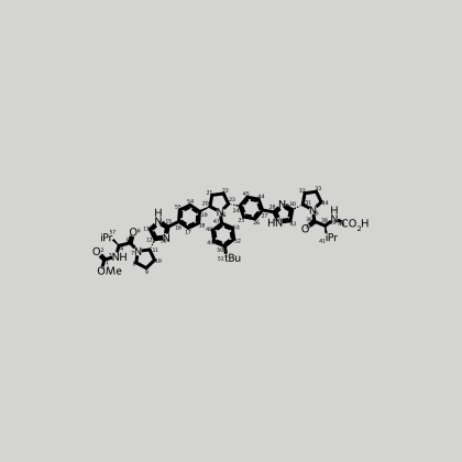 COC(=O)N[C@H](C(=O)N1CCC[C@H]1c1c[nH]c(-c2ccc([C@H]3CC[C@H](c4ccc(-c5nc([C@@H]6CCCN6C(=O)[C@@H](NC(=O)O)C(C)C)c[nH]5)cc4)N3c3ccc(C(C)(C)C)cc3)cc2)n1)C(C)C